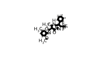 COc1ccc(C)c2oc(-c3c(C)[nH]c4c(-c5ccccc5)c(C(F)(F)F)nn4c3=O)nc12